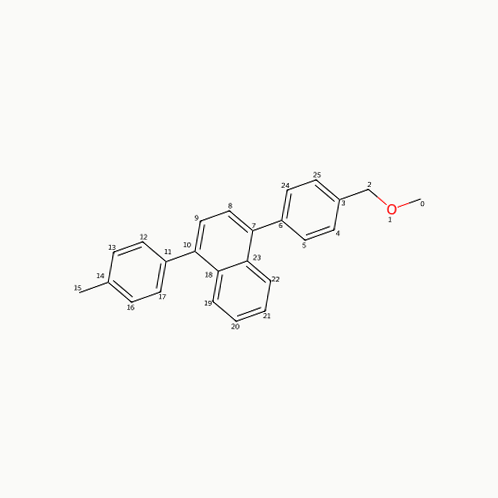 COCc1ccc(-c2ccc(-c3ccc(C)cc3)c3ccccc23)cc1